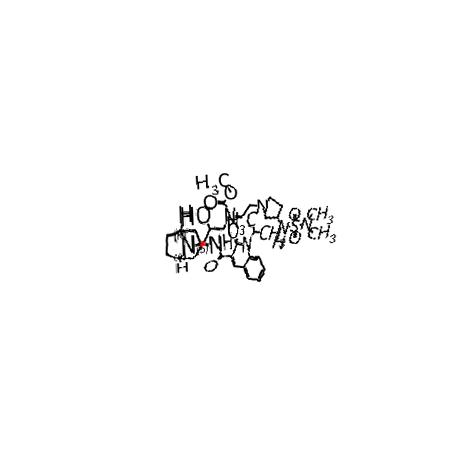 COC(=O)N(CCN1CCC(NS(=O)(=O)N(C)C)C1)CC(O)CN1[C@@H]2CC[C@H]1C[C@H](NC(=O)c1cc3ccccc3n(C(C)C)c1=O)C2